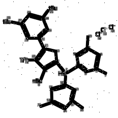 CCCCC1=C([SiH](c2cc(C)cc(C)c2)c2cc(C)cc(C)c2)CC(c2cc(C(C)(C)C)cc(C(C)(C)C)c2)=[C]1[Ti+3].[Cl-].[Cl-].[Cl-]